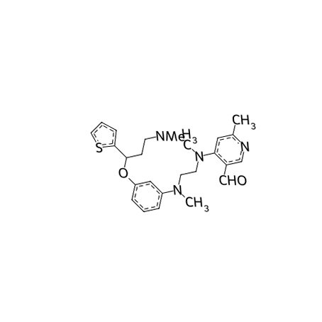 CNCCC(Oc1cccc(N(C)CCN(C)c2cc(C)ncc2C=O)c1)c1cccs1